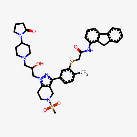 CS(=O)(=O)N1CCc2c(c(-c3ccc(C(F)(F)F)c(SCC(=O)Nc4cccc5c4Cc4ccccc4-5)c3)nn2CC(O)CN2CCC(N3CCCC3=O)CC2)C1